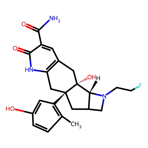 Cc1ccc(O)cc1[C@@]12Cc3[nH]c(=O)c(C(N)=O)cc3C[C@@]1(O)[C@H]1C(CN1CCF)C2